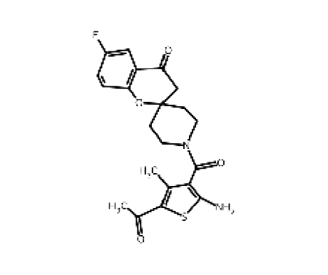 CC(=O)c1sc(N)c(C(=O)N2CCC3(CC2)CC(=O)c2cc(F)ccc2O3)c1C